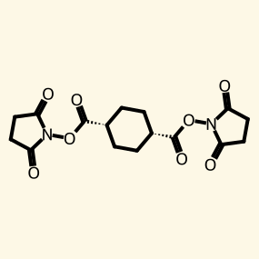 O=C1CCC(=O)N1OC(=O)[C@H]1CC[C@@H](C(=O)ON2C(=O)CCC2=O)CC1